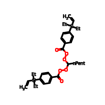 [CH2]CCCC[C](OOC(=O)c1ccc([Si](C=C)(CC)CC)cc1)OOC(=O)c1ccc([Si](C=C)(CC)CC)cc1